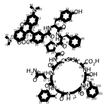 C[C@@H]1NC(=O)[C@H](Cc2ccccc2)NC(=O)[C@H](CCC(N)=O)NC(=O)[C@H](NC(=O)[C@@H]2CCCN2C(=O)[C@H](Cc2ccccc2)NC(=O)[C@H](Cc2ccc(O)cc2)NC(=O)c2ccc(C(=O)[O-])c(-c3c4ccc(=[N+](C)C)cc-4oc4cc(N(C)C)ccc34)c2)CSSC[C@@H](C(=O)O)NC(O)[C@H](Cc2ccccc2)NC1=O